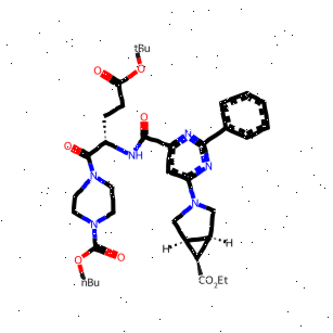 CCCCOC(=O)N1CCN(C(=O)[C@H](CCC(=O)OC(C)(C)C)NC(=O)c2cc(N3C[C@@H]4[C@H](C3)[C@@H]4C(=O)OCC)nc(-c3ccccc3)n2)CC1